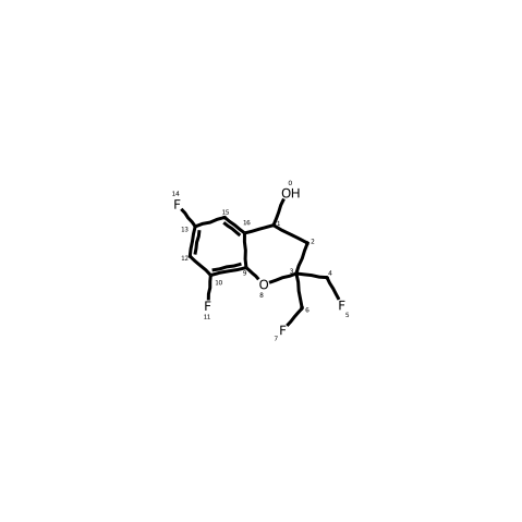 OC1CC(CF)(CF)Oc2c(F)cc(F)cc21